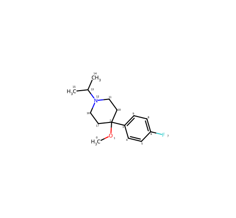 COC1(c2ccc(F)cc2)CCN(C(C)C)CC1